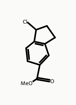 COC(=O)c1ccc2c(c1)CCC2Cl